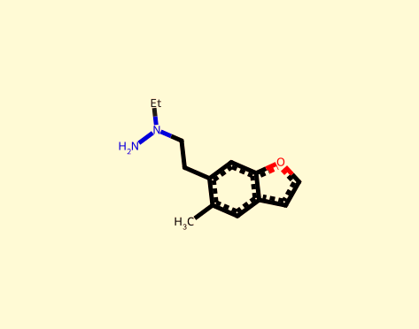 CCN(N)CCc1cc2occc2cc1C